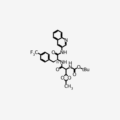 CC1OC(C(NC(=O)OC(C)(C)C)C(=O)N[C@@H](Cc2ccc(C(F)(F)F)cc2)C(=O)Nc2cnc3ccccc3c2)O1